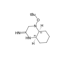 CC(C)(C)ON1CC(=N)N[C@@H]2CCCC[C@@H]21